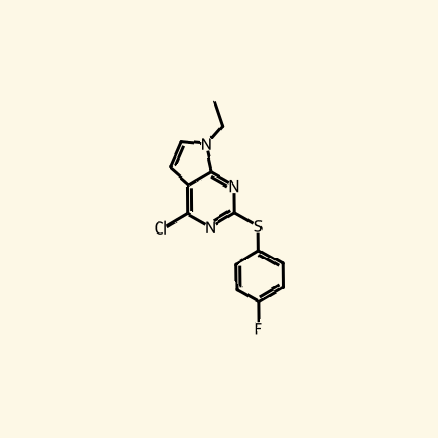 CCn1ccc2c(Cl)nc(Sc3ccc(F)cc3)nc21